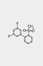 CS(=O)(=O)c1ccccc1-c1cc(F)cc(F)c1